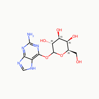 Nc1nc(OC2O[C@H](CO)[C@H](O)[C@H](O)[C@H]2O)c2[nH]cnc2n1